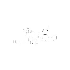 O=C(O)Cc1nc(NC(=O)Nc2ccc(F)cc2C(=O)C2CCCC2)sc1Sc1ncc[nH]1